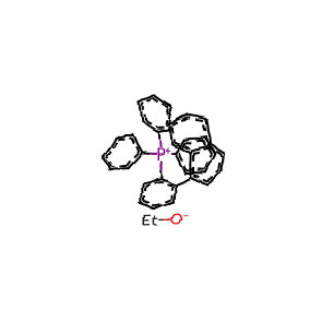 CC[O-].c1ccc([P+](c2ccccc2)(c2ccccc2)c2ccccc2-c2cccc3ccccc23)cc1